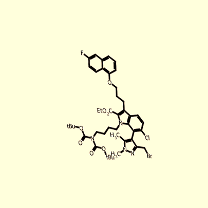 CCOC(=O)c1c(CCCOc2cccc3cc(F)ccc23)c2ccc(Cl)c(-c3c(CBr)nn(C)c3C)c2n1CCCCN(C(=O)OC(C)(C)C)C(=O)OC(C)(C)C